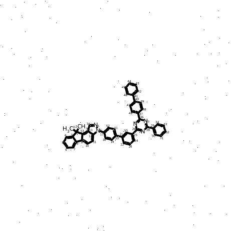 CC1(C)c2ccccc2-c2ccc3c(cnn3-c3ccc(-c4cccc(-c5nc(-c6ccccc6)nc(-c6ccc(-c7ccccc7)cc6)n5)c4)cc3)c21